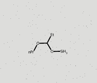 CCCOC(CC)O[SiH3]